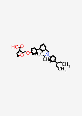 CCC(CC)c1ccc(N(Cc2cccc(-c3ccc(OCc4occc4C(=O)O)cc3)c2)C(C)C)cc1